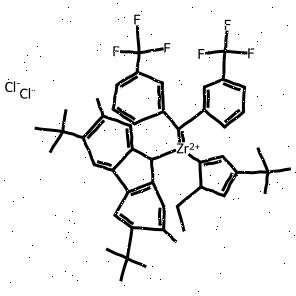 CCC1C=C(C(C)(C)C)C=[C]1[Zr+2](=[C](c1cccc(C(F)(F)F)c1)c1cccc(C(F)(F)F)c1)[CH]1c2cc(C)c(C(C)(C)C)cc2-c2cc(C(C)(C)C)c(C)cc21.[Cl-].[Cl-]